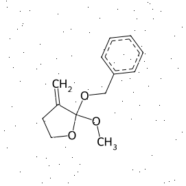 C=C1CCOC1(OC)OCc1ccccc1